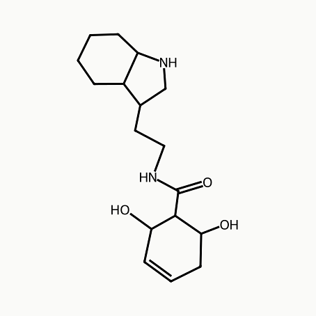 O=C(NCCC1CNC2CCCCC12)C1C(O)C=CCC1O